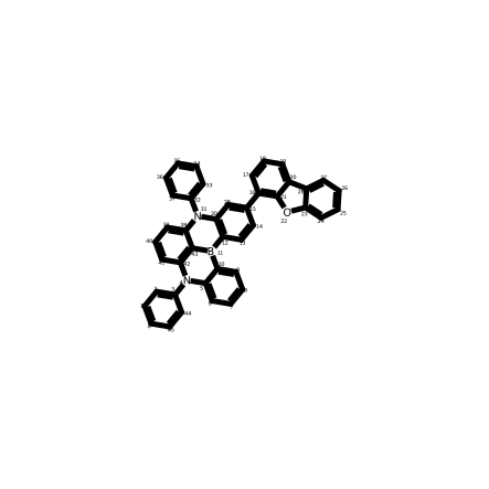 c1ccc(N2c3ccccc3B3c4ccc(-c5cccc6c5oc5ccccc56)cc4N(c4ccccc4)c4cccc2c43)cc1